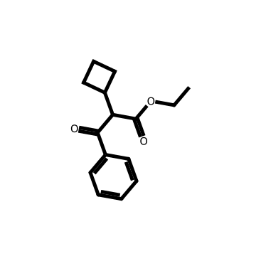 CCOC(=O)C(C(=O)c1ccccc1)C1CCC1